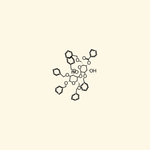 O=C(O[C@@H]1[C@H](O)[C@@H](OCc2ccccc2)[C@@](O)(O[C@@H]2[C@@H](OCc3ccccc3)[C@H](OCc3ccccc3)[C@@H](OCc3ccccc3)O[C@H]2COCc2ccccc2)O[C@@H]1COCc1ccccc1)c1ccccc1